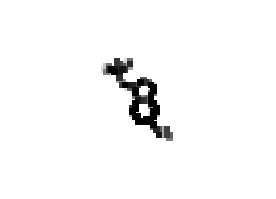 Nc1ccc2c(c1)CCN2C[SH](=O)=O